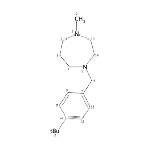 CN1CCCN(Cc2ccc(C(C)(C)C)cc2)CC1